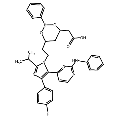 CC(C)c1nc(-c2ccc(F)cc2)c(-c2ccnc(Nc3ccccc3)n2)n1CCC1CC(CC(=O)O)OB(c2ccccc2)O1